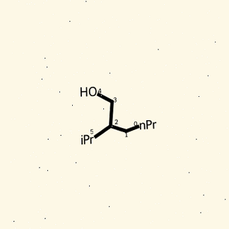 CCCCC(CO)C(C)C